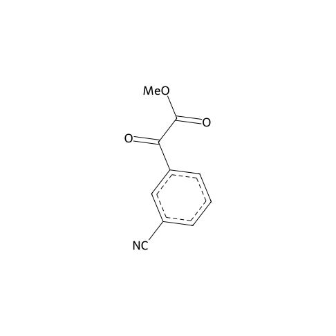 COC(=O)C(=O)c1cccc(C#N)c1